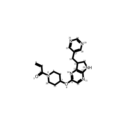 C=CC(=O)N1CCC(Oc2cnc3c(n2)C(Cc2cncnc2)CN3)CC1